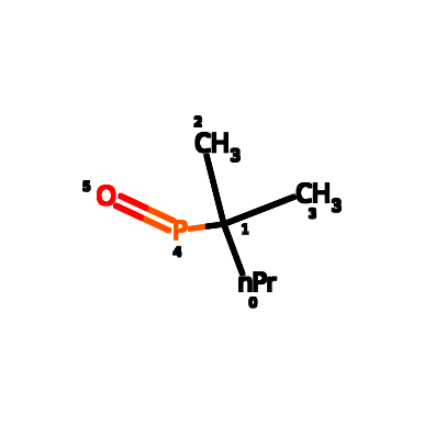 CCCC(C)(C)P=O